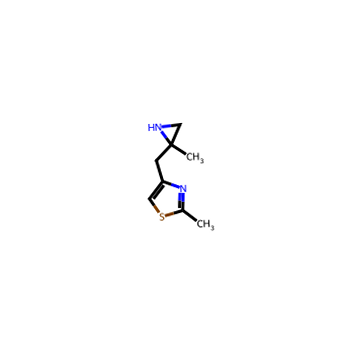 Cc1nc(CC2(C)CN2)cs1